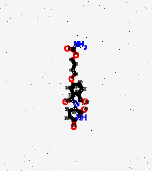 NC(=O)OCCCCOc1ccc2c(c1)C(=O)N(C1CCC(=O)NC1=O)C2=O